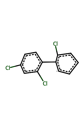 Clc1ccc(-c2[c]cccc2Cl)c(Cl)c1